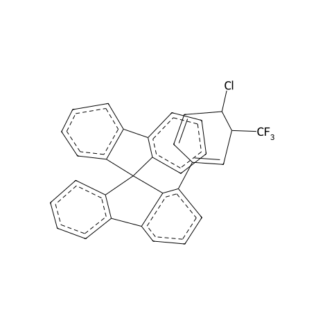 FC(F)(F)C1C=C(c2cccc3c2C2(c4ccccc4-c4ccccc42)c2ccccc2-3)C=CC1Cl